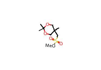 COS(=O)(=O)CC1(C)COC(C)(C)OC1